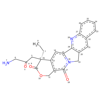 CC[C@@]1(CC(=O)CN)C(=O)OCc2c1cc1n(c2=O)Cc2cc3ccccc3nc2-1